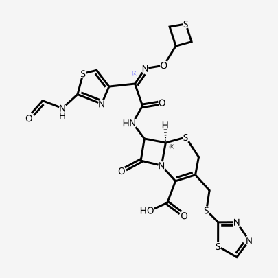 O=CNc1nc(/C(=N/OC2CSC2)C(=O)NC2C(=O)N3C(C(=O)O)=C(CSc4nncs4)CS[C@H]23)cs1